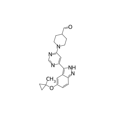 CC1(Oc2ccc3n[nH]c(-c4cc(N5CCC(C=O)CC5)ncn4)c3c2)CC1